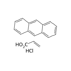 C=CC(=O)O.Cl.c1ccc2cc3ccccc3cc2c1